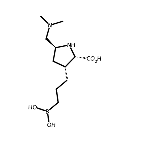 CN(C)C[C@@H]1C[C@@H](CCCB(O)O)[C@@H](C(=O)O)N1